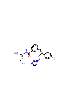 CSCC[C@H](NC(=O)c1cccc(/C=C(\CCn2ccnc2)c2ccc(F)cc2)c1)C(=O)O